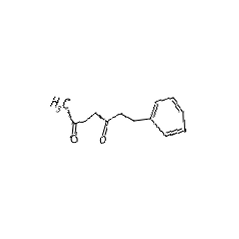 CC(=O)CC(=O)CCc1ccccc1